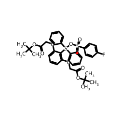 CC(C)(C)OC(=O)COc1cccc(OCC(=O)OC(C)(C)C)c1S(OS(=O)(=O)c1ccc(F)cc1)(c1ccccc1)c1ccccc1